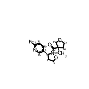 C[C@]1(C(=O)N2OCC[C@H]2c2ccc(F)nc2)CCOC1